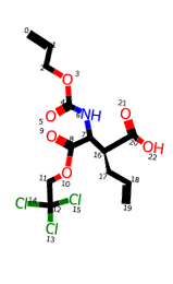 C=CCOC(=O)NC(C(=O)OCC(Cl)(Cl)Cl)[C@H](CC=C)C(=O)O